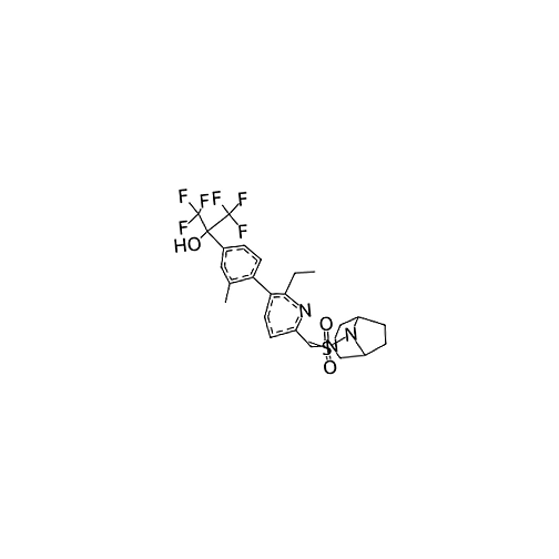 CCc1nc(CN2CC3CCC(C2)N3S(C)(=O)=O)ccc1-c1ccc(C(O)(C(F)(F)F)C(F)(F)F)cc1C